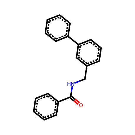 O=C(NCc1cccc(-c2ccccc2)c1)c1ccccc1